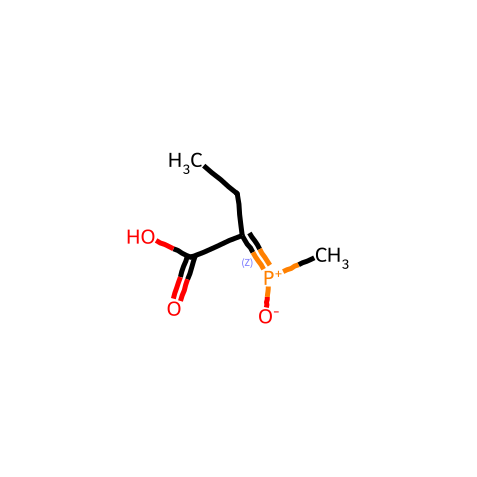 CC/C(C(=O)O)=[P+](\C)[O-]